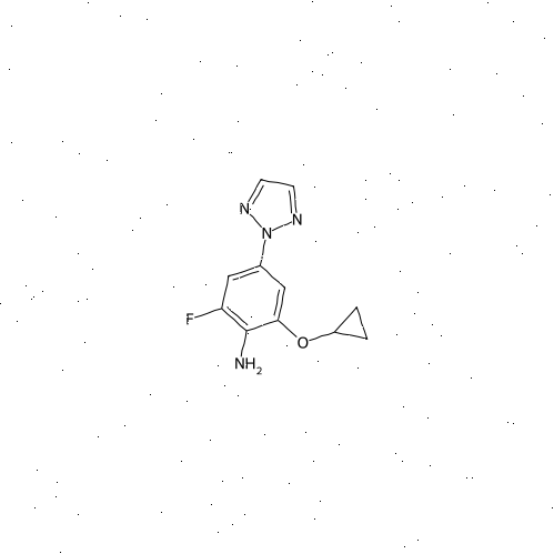 Nc1c(F)cc(-n2nccn2)cc1OC1CC1